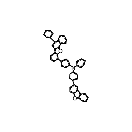 C1=C(c2ccc3oc4ccccc4c3c2)CCC(N(c2ccccc2)c2ccc(-c3cccc4c3oc3c5ccccc5c(-c5ccccc5)cc43)cc2)=C1